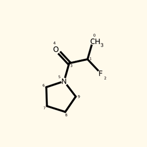 CC(F)C(=O)N1CCCC1